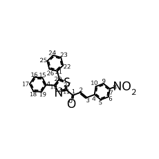 O=C(C=Cc1ccc([N+](=O)[O-])cc1)c1nc(-c2ccccc2)c(-c2ccccc2)s1